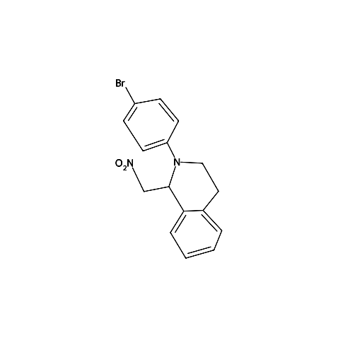 O=[N+]([O-])CC1c2ccccc2CCN1c1ccc(Br)cc1